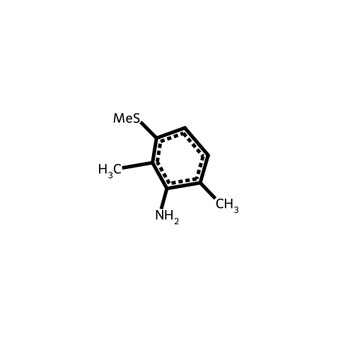 CSc1ccc(C)c(N)c1C